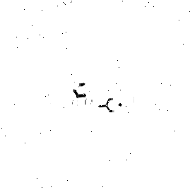 CC1(C)OCC(CONc2nc(Cl)ncc2NC=O)CO1